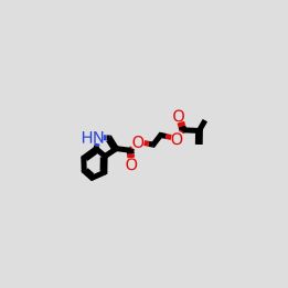 C=C(C)C(=O)OCCOC(=O)c1c[nH]c2ccccc12